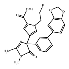 COC(=O)c1cc(C2(c3cccc(-c4ccc5c(c4)OCO5)c3)N=C(N)N(C)C2=O)cn1CCF